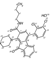 CCCCNC(=O)c1cc(-c2cccc(Cl)c2Cl)c2c(c1N1CCNCC1)C(=O)c1ccccc1-2.Cl